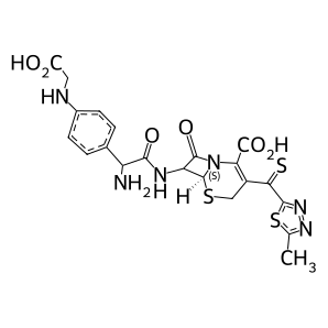 Cc1nnc(C(=S)C2=C(C(=O)O)N3C(=O)C(NC(=O)C(N)c4ccc(NCC(=O)O)cc4)[C@@H]3SC2)s1